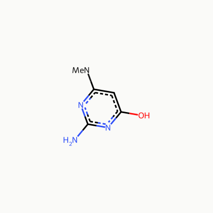 CNc1cc(O)nc(N)n1